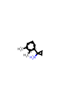 Cc1cccc(C2(N)CC2)c1C